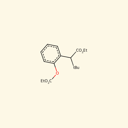 CCOC(=O)Oc1ccccc1C(C(=O)OCC)C(C)(C)C